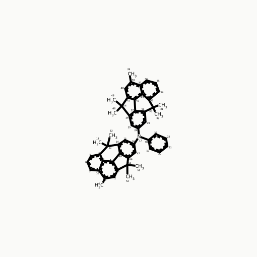 Cc1cc2c3c4c(cccc14)C(C)(C)c1cc(N(c4ccccc4)c4cc5c6c(c4)C(C)(C)c4cccc7c(C)cc(c-6c47)C5(C)C)cc(c1-3)C2(C)C